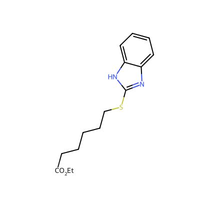 CCOC(=O)CCCCCSc1nc2ccccc2[nH]1